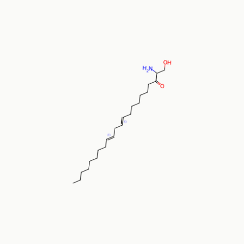 CCCCCCCC/C=C/C/C=C/CCCCCCC(=O)C(N)CO